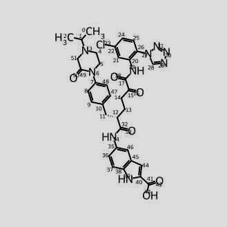 CC(C)N1CCN(c2ccc(C[C@H](CCC(=O)C(=O)Nc3cc(Cl)ccc3-n3cnnn3)C(=O)Nc3ccc4[nH]c(C(=O)O)cc4c3)cc2)C(=O)C1